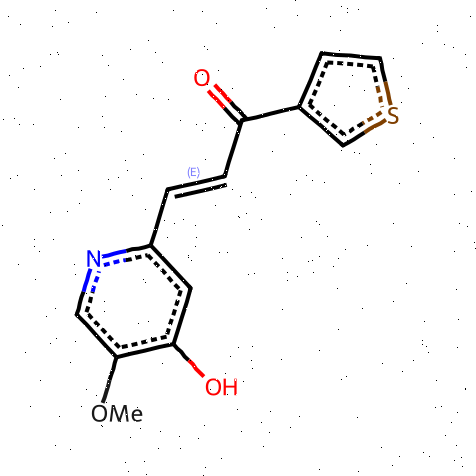 COc1cnc(/C=C/C(=O)c2ccsc2)cc1O